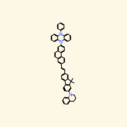 CC1(C)c2cc(N3CCCc4ccccc43)c#cc2-c2ccc(/C=C/c3ccc4c(ccc5cc(N6c7ccccc7N(c7ccccc7)c7ccccc76)ccc54)c3)cc21